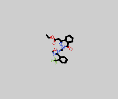 CCOC(=O)Cc1nn(CN2OCN=C2c2ccccc2C(F)(F)F)c(=O)c2ccccc12